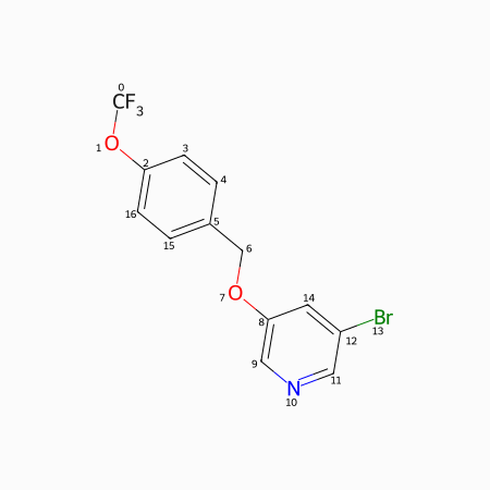 FC(F)(F)Oc1ccc(COc2cncc(Br)c2)cc1